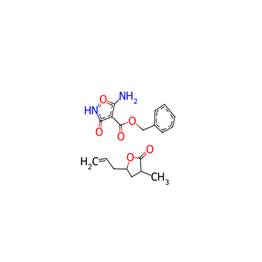 C=CCC1CC(C)C(=O)O1.Nc1o[nH]c(=O)c1C(=O)OCc1ccccc1